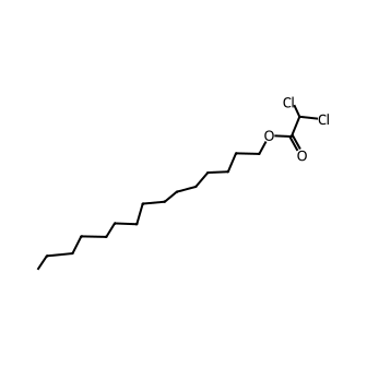 CCCCCCCCCCCCCCCOC(=O)C(Cl)Cl